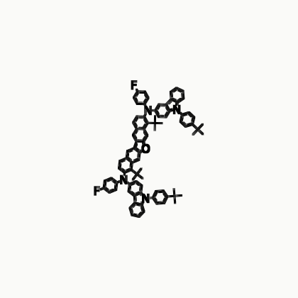 CC(C)(C)c1ccc(-n2c3ccccc3c3cc(N(c4ccc(F)cc4)c4ccc5cc6c(cc5c4C(C)(C)C)oc4cc5c(C(C)(C)C)c(N(c7ccc(F)cc7)c7ccc8c(c7)c7ccccc7n8-c7ccc(C(C)(C)C)cc7)ccc5cc46)ccc32)cc1